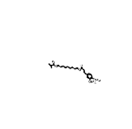 C=C(C)C(=O)OCCCCCCCCCOC(=O)C=Cc1ccc(OC)c(OC)c1